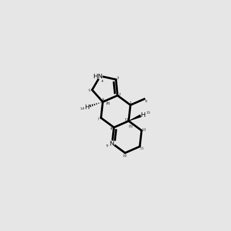 CC1C2=CNC[C@@H]2CC2=NCCC[C@H]21